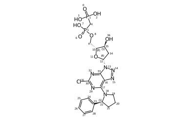 O=P(O)(O)CP(=O)(O)OC[C@H]1O[C@@H](n2nnc3c(N4CCC[C@H]4c4ccccc4)nc(Cl)nc32)C[C@@H]1O